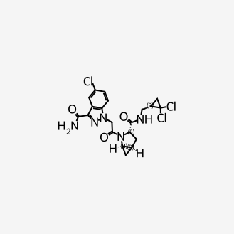 NC(=O)c1nn(CC(=O)N2[C@@H]3C[C@@H]3C[C@H]2C(=O)NC[C@H]2CC2(Cl)Cl)c2ccc(Cl)cc12